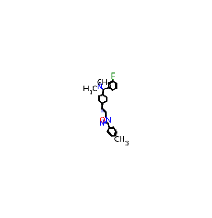 Cc1ccc(-c2noc(/C=C/C3CCC(C(c4cccc(F)c4)N(C)C)CC3)n2)cc1